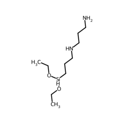 CCO[SiH](CCCNCCCN)OCC